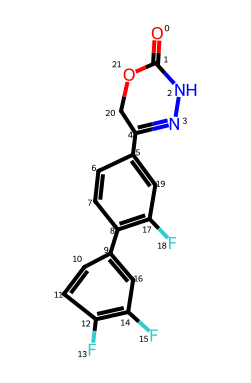 O=C1NN=C(c2ccc(-c3ccc(F)c(F)c3)c(F)c2)CO1